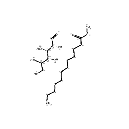 CCCCCCCCCCCC(=O)OC.O=C[C@H](O)[C@@H](O)[C@H](O)[C@H](O)CO